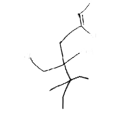 CC(C)(C)C(O)(CCl)C/C(Cl)=C/Cl